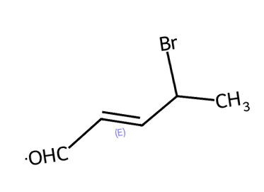 CC(Br)/C=C/[C]=O